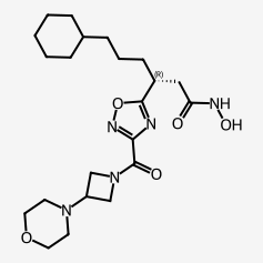 O=C(C[C@@H](CCCC1CCCCC1)c1nc(C(=O)N2CC(N3CCOCC3)C2)no1)NO